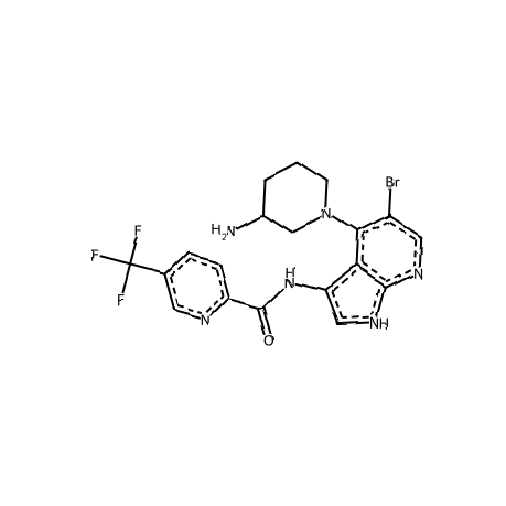 NC1CCCN(c2c(Br)cnc3[nH]cc(NC(=O)c4ccc(C(F)(F)F)cn4)c23)C1